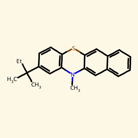 CCC(C)(C)c1ccc2c(c1)N(C)c1cc3ccccc3cc1S2